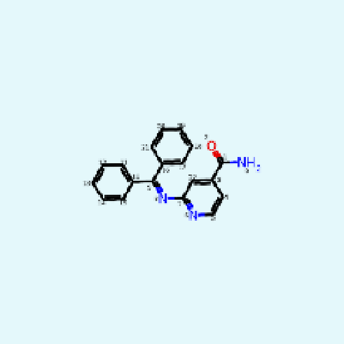 NC(=O)c1ccnc(N=C(c2ccccc2)c2ccccc2)c1